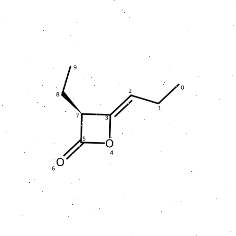 CC/C=C1\OC(=O)[C@H]1CC